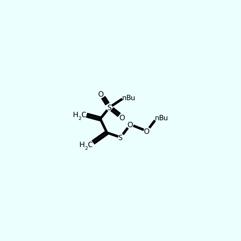 C=C(SOOCCCC)C(=C)S(=O)(=O)CCCC